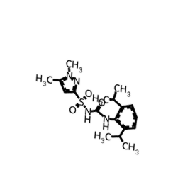 Cc1cc(S(=O)(=O)NC(=O)Nc2c(C(C)C)cccc2C(C)C)nn1C